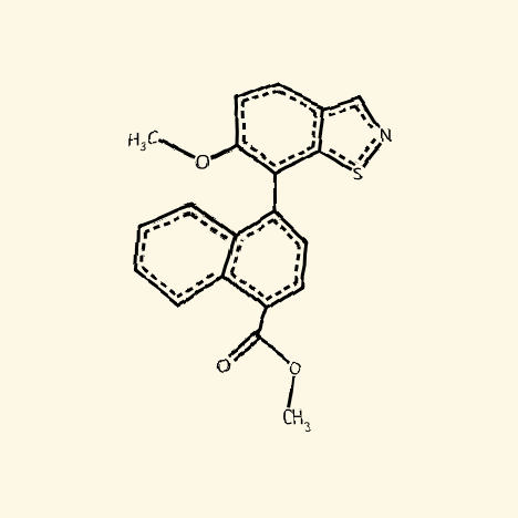 COC(=O)c1ccc(-c2c(OC)ccc3cnsc23)c2ccccc12